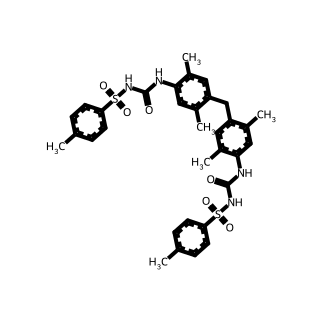 Cc1ccc(S(=O)(=O)NC(=O)Nc2cc(C)c(Cc3cc(C)c(NC(=O)NS(=O)(=O)c4ccc(C)cc4)cc3C)cc2C)cc1